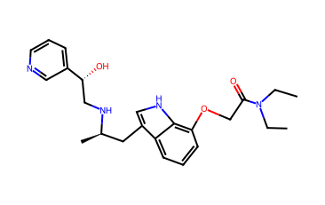 CCN(CC)C(=O)COc1cccc2c(C[C@@H](C)NC[C@@H](O)c3cccnc3)c[nH]c12